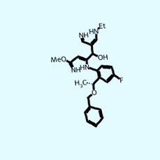 CCN/C=C(\C=N)C(O)/C(=C/C(=N)OC)Nc1ccc(F)cc1[C@@H](C)OCc1ccccc1